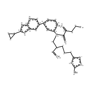 C=CC(CCCc1noc(C(C)(C)C)n1)CN(C(=O)C(=C)CCF)c1cccc(-c2cnc3nc(C4CC4)sc3c2)c1